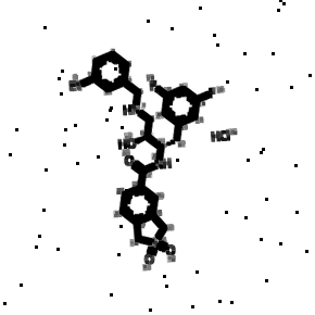 CCc1cccc(CNC[C@H](O)[C@H](Cc2cc(F)cc(F)c2)NC(=O)c2ccc3c(c2)CS(=O)(=O)C3)c1.Cl